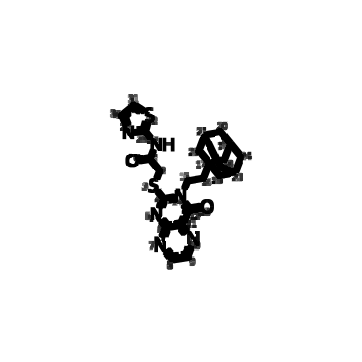 O=C(CSc1nc2nccnc2c(=O)n1CCC12CC3CC(CC(C3)C1)C2)Nc1nccs1